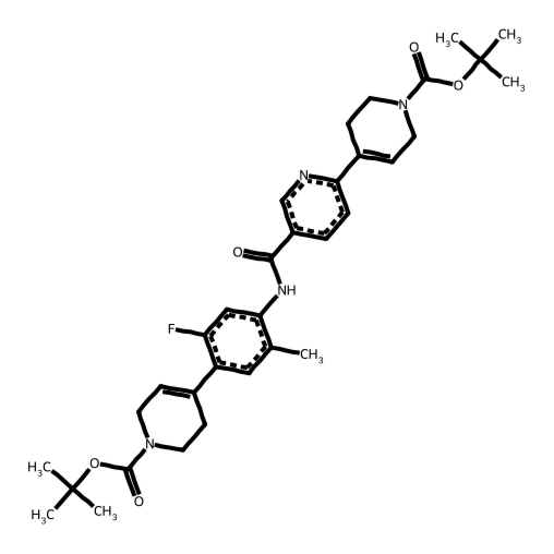 Cc1cc(C2=CCN(C(=O)OC(C)(C)C)CC2)c(F)cc1NC(=O)c1ccc(C2=CCN(C(=O)OC(C)(C)C)CC2)nc1